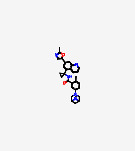 Cc1ncc(-c2cc(C3(NC(=O)c4cc(N5CC6CC(C5)N6C)ccc4C)CC3)c3cccnc3c2)o1